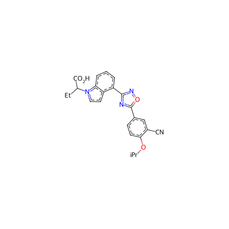 CCC(C(=O)O)n1ccc2c(-c3noc(-c4ccc(OC(C)C)c(C#N)c4)n3)cccc21